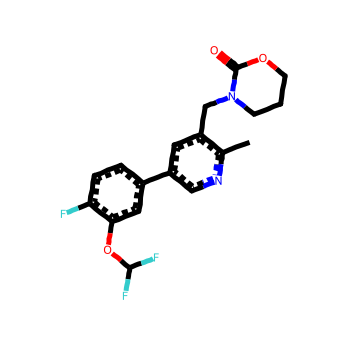 Cc1ncc(-c2ccc(F)c(OC(F)F)c2)cc1CN1CCCOC1=O